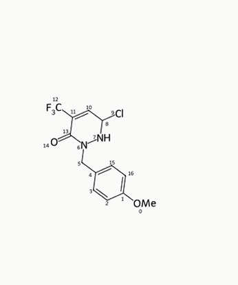 COc1ccc(CN2NC(Cl)C=C(C(F)(F)F)C2=O)cc1